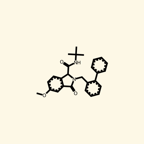 COc1ccc2c(c1)C(=O)N(Cc1ccccc1-c1ccccc1)C2C(=O)NC(C)(C)C